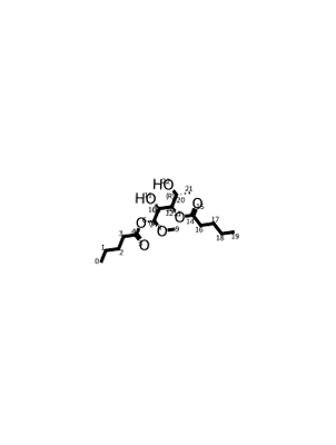 CCCCC(=O)O[C@@H](OC)[C@@H](O)[C@H](OC(=O)CCCC)[C@@H](C)O